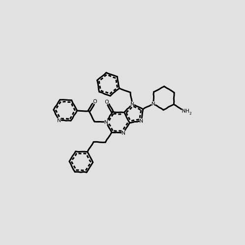 NC1CCCN(c2nc3nc(CCc4ccccc4)n(CC(=O)c4cccnc4)c(=O)c3n2Cc2ccccc2)C1